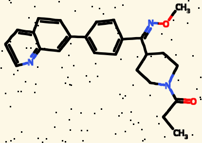 CCC(=O)N1CCC(/C(=N\OC)c2ccc(-c3ccc4cccnc4c3)cc2)CC1